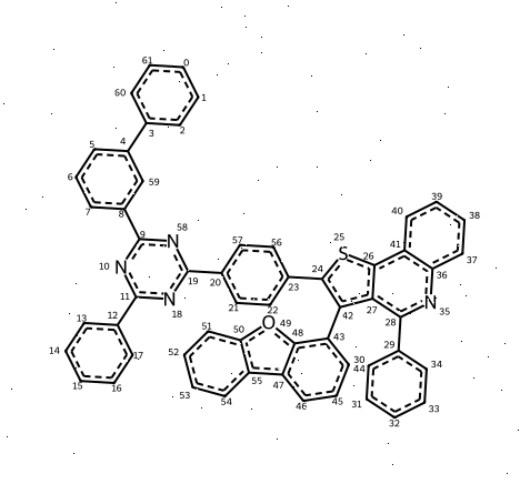 c1ccc(-c2cccc(-c3nc(-c4ccccc4)nc(-c4ccc(-c5sc6c(c(-c7ccccc7)nc7ccccc76)c5-c5cccc6c5oc5ccccc56)cc4)n3)c2)cc1